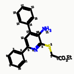 CCOC(=O)CSc1nc(-c2ccccc2)cc(-c2ccccc2)c1N